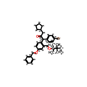 CC(C)(C)[Si](C)(C)OCc1cc(OCc2ccccc2)ccc1C(C(=O)CC1CCCC1)c1ccc(Br)cc1